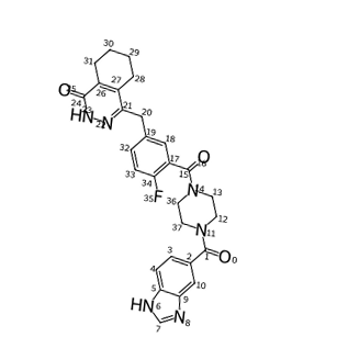 O=C(c1ccc2[nH]cnc2c1)N1CCN(C(=O)c2cc(Cc3n[nH]c(=O)c4c3CCCC4)ccc2F)CC1